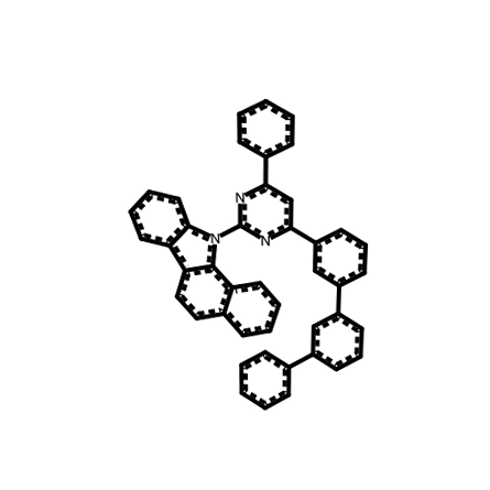 c1ccc(-c2cccc(-c3cccc(-c4cc(-c5ccccc5)nc(-n5c6ccccc6c6ccc7ccccc7c65)n4)c3)c2)cc1